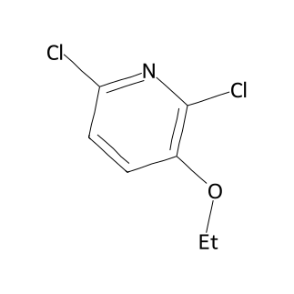 CCOc1ccc(Cl)nc1Cl